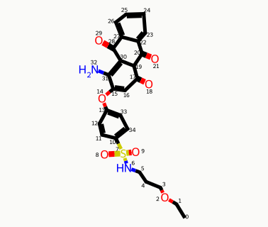 CCOCCCNS(=O)(=O)c1ccc(OC2=CC(=O)C3C(=O)c4ccccc4C(=O)C3=C2N)cc1